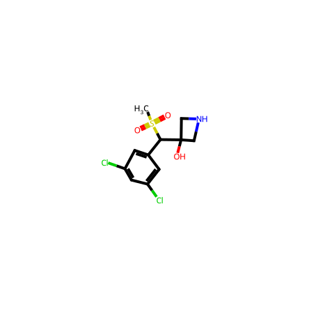 CS(=O)(=O)C(c1cc(Cl)cc(Cl)c1)C1(O)CNC1